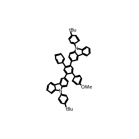 COc1ccc(-c2cc(-c3ccc4c(c3)c3ccccc3n4-c3ccc(C(C)(C)C)cc3)c(-c3ccccc3)cc2-c2ccc3c(c2)c2ccccc2n3-c2ccc(C(C)(C)C)cc2)cc1